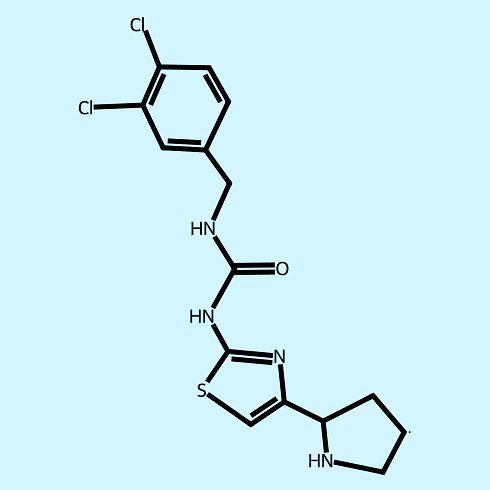 O=C(NCc1ccc(Cl)c(Cl)c1)Nc1nc(C2C[CH]CN2)cs1